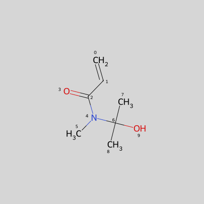 C=CC(=O)N(C)C(C)(C)O